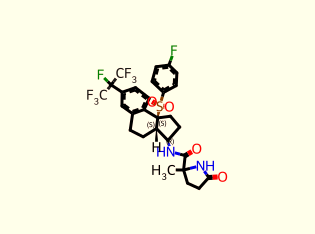 CC1(C(=O)N[C@@H]2CC[C@@]3(S(=O)(=O)c4ccc(F)cc4)c4ccc(C(F)(C(F)(F)F)C(F)(F)F)cc4CC[C@@H]23)CCC(=O)N1